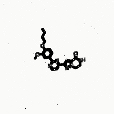 CCCCOc1ccc(-c2nccc(-c3cc4n(n3)CCNC4=O)n2)cc1OC